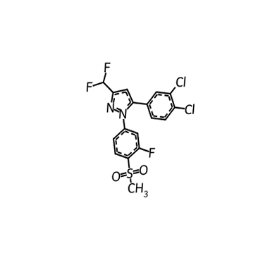 CS(=O)(=O)c1ccc(-n2nc(C(F)F)cc2-c2ccc(Cl)c(Cl)c2)cc1F